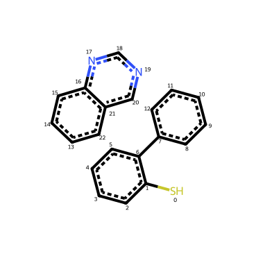 Sc1ccccc1-c1ccccc1.c1ccc2ncncc2c1